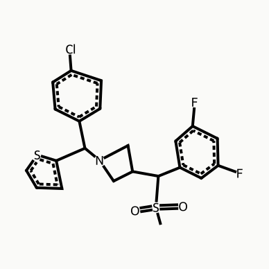 CS(=O)(=O)C(c1cc(F)cc(F)c1)C1CN(C(c2ccc(Cl)cc2)c2cccs2)C1